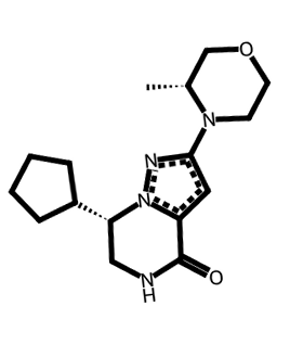 C[C@@H]1COCCN1c1cc2n(n1)[C@@H](C1CCCC1)CNC2=O